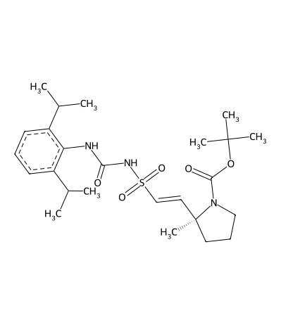 CC(C)c1cccc(C(C)C)c1NC(=O)NS(=O)(=O)/C=C/[C@]1(C)CCCN1C(=O)OC(C)(C)C